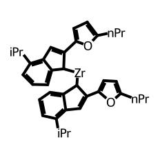 CCCc1ccc(C2=Cc3c(C(C)C)cccc3[CH]2[Zr][CH]2C(c3ccc(CCC)o3)=Cc3c(C(C)C)cccc32)o1